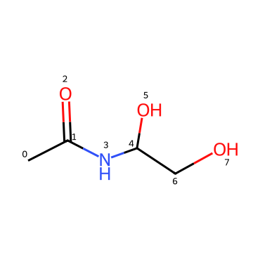 CC(=O)NC(O)CO